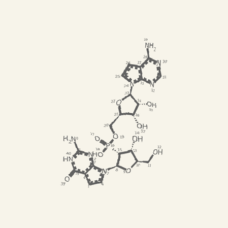 Nc1nc2c(ccn2[C@@H]2O[C@H](CO)[C@@H](O)[C@H]2P(=O)(O)OC[C@H]2O[C@@H](n3ccc4c(N)ncnc43)[C@H](O)[C@@H]2O)c(=O)[nH]1